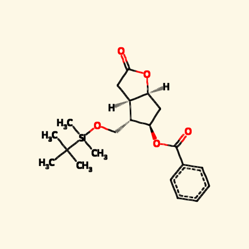 CC(C)(C)[Si](C)(C)OC[C@@H]1[C@H]2CC(=O)O[C@H]2C[C@H]1OC(=O)c1ccccc1